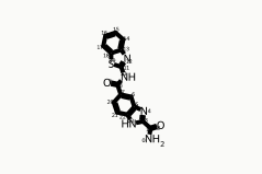 NC(=O)c1nc2cc(C(=O)Nc3nc4ccccc4s3)ccc2[nH]1